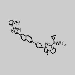 N[C@H](C(=O)N1CCC[C@H]1c1ncc(-c2ccc(-c3ccc4cc(-c5cnc([C@@H]6CCCN6)[nH]5)ccc4c3)cc2)[nH]1)C1CC1